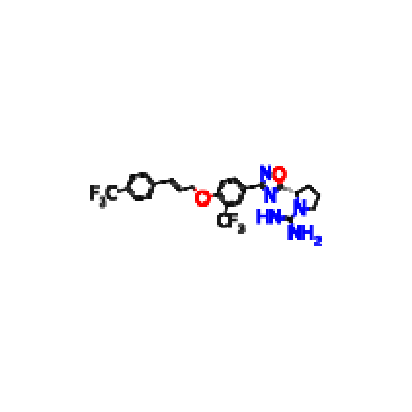 N=C(N)N1CCC[C@H]1c1nc(-c2ccc(OC/C=C/c3ccc(C(F)(F)F)cc3)c(C(F)(F)F)c2)no1